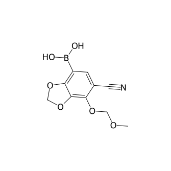 COCOc1c(C#N)cc(B(O)O)c2c1OCO2